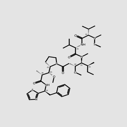 CC[C@H](C)[C@@H]([C@@H](CC(=O)N1CCC[C@H]1[C@H](OC)[C@@H](C)C(=O)N[C@@H](Cc1ccccc1)c1nccs1)OC)N(C)C(=O)[C@@H](NC(=O)[C@H](C(C)C)N(C)SC)C(C)C